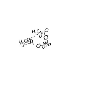 CC(CCCCC(=O)OC(C)(C)C)NC(=O)[C@H](c1ccc(CN2N=C(c3ccccc3)OCC2=O)cc1)C1CCCC1